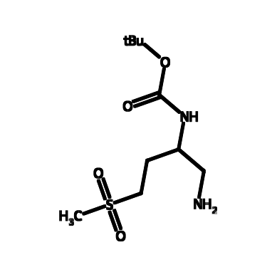 CC(C)(C)OC(=O)NC(CN)CCS(C)(=O)=O